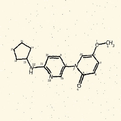 COc1ccc(=O)n(-c2ccc(NC3CCCC3)nc2)c1